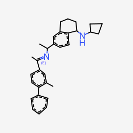 C/C(=N\C(C)c1ccc2c(c1)CCCC2NC1CCC1)c1ccc(-c2ccccc2)c(C)c1